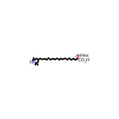 CCCCCCOC(CCCCCCCCCCCCCCCCCCC1CC(C)(C)NC(C)(C)C1)C(=O)O